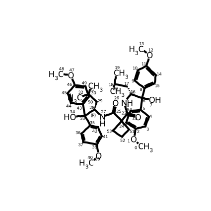 COc1ccc(C(O)(c2ccc(OC)cc2)[C@@H](CC(C)C)NC(=O)C2(C(=O)N[C@H](CC(C)C)C(O)(c3ccc(OC)cc3)c3ccc(OC)cc3)CCC2)cc1